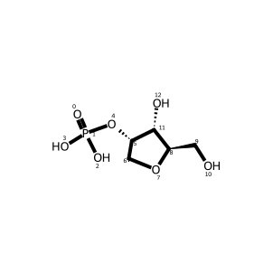 O=P(O)(O)O[C@H]1[CH]O[C@H](CO)[C@H]1O